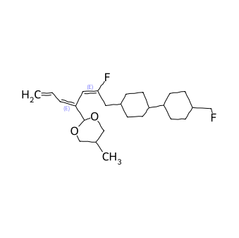 C=C/C=C(\C=C(\F)CC1CCC(C2CCC(CF)CC2)CC1)C1OCC(C)CO1